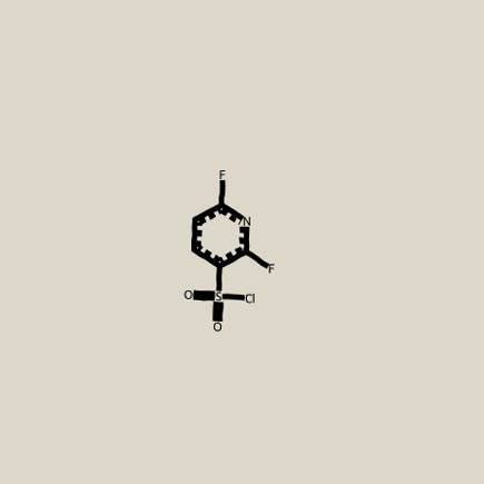 O=S(=O)(Cl)c1ccc(F)nc1F